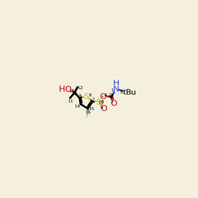 CC(C)(C)NC(=O)O[S@](=O)c1sc(C(C)(C)O)cc1F